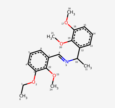 CCOc1cccc(C=NC(C)c2cccc(OC)c2OC)c1OC